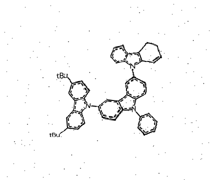 CC(C)(C)c1ccc2c(c1)c1cc(C(C)(C)C)ccc1n2-c1ccc2c(c1)c1cc(-n3c4c(c5ccccc53)CCC=C4)ccc1n2-c1ccccc1